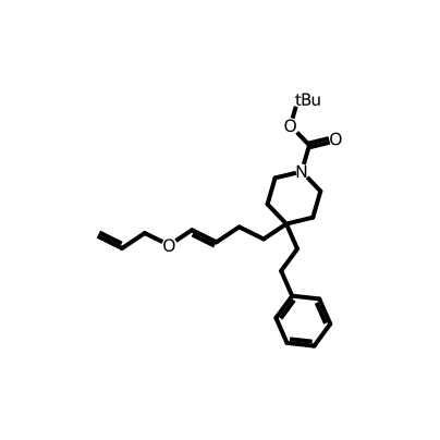 C=CCOC=CCCC1(CCc2ccccc2)CCN(C(=O)OC(C)(C)C)CC1